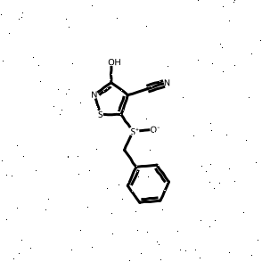 N#Cc1c(O)nsc1[S+]([O-])Cc1ccccc1